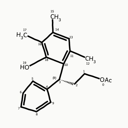 CC(=O)OCC[C@H](c1ccccc1)c1c(C)cc(C)c(C)c1O